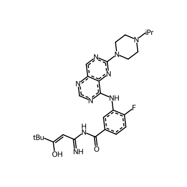 CC(C)N1CCN(c2ncc3ncnc(Nc4cc(C(=O)NC(=N)/C=C(\O)C(C)(C)C)ccc4F)c3n2)CC1